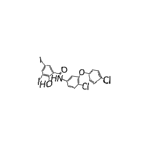 O=C(Nc1ccc(Cl)c(Oc2ccc(Cl)cc2)c1)c1cc(I)cc(I)c1O